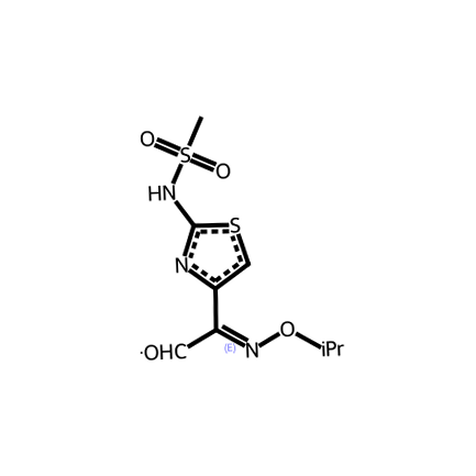 CC(C)O/N=C(/[C]=O)c1csc(NS(C)(=O)=O)n1